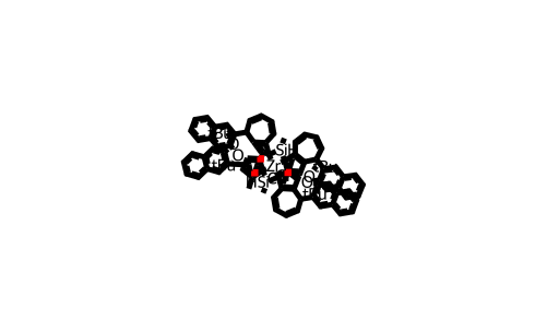 CC1=CC2=C(C=CC=CC2c2cc3ccccc3cc2OC(C)(C)C)[C]12[SiH](C)[C]1(C(C)=CC3=C1C=CC=CC3c1cc3ccccc3cc1OC(C)(C)C)[Zr]21([Cl])([Cl])[C]2(C(C)=CC3=C2C=CC=CC3c2cc3ccccc3cc2OC(C)(C)C)[SiH](C)[C]12C(C)=CC1=C2C=CC=CC1c1cc2ccccc2cc1OC(C)(C)C